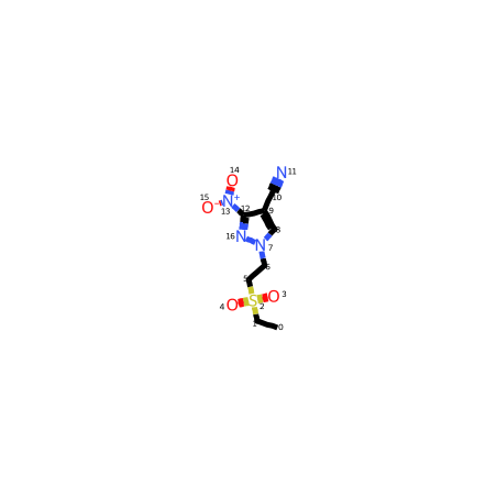 CCS(=O)(=O)CCn1cc(C#N)c([N+](=O)[O-])n1